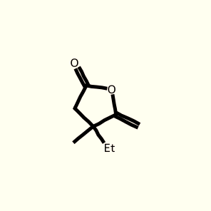 C=C1OC(=O)CC1(C)CC